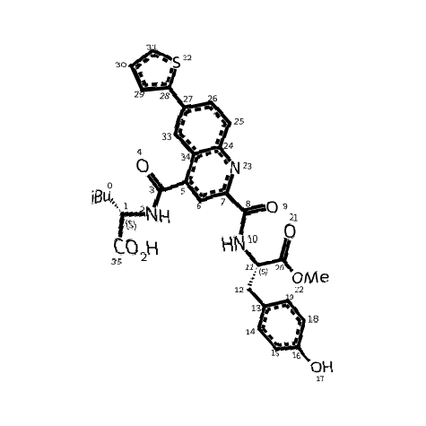 CCC(C)[C@H](NC(=O)c1cc(C(=O)N[C@@H](Cc2ccc(O)cc2)C(=O)OC)nc2ccc(-c3cccs3)cc12)C(=O)O